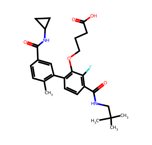 Cc1ccc(C(=O)NC2CC2)cc1-c1ccc(C(=O)NCC(C)(C)C)c(F)c1OCCCC(=O)O